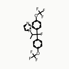 CC(n1ccnn1)C(F)(c1ccc(OC(F)(F)F)cc1)c1ccc(OC(F)(F)F)cc1